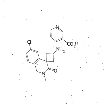 CN1Cc2ccc(Cl)cc2C2(CC(N)C2)C1=O.O=C(O)c1cccnc1